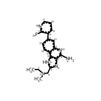 CCN(C)Cc1nc2c(N)nc3cc(-c4cccnc4F)ccc3c2[nH]1